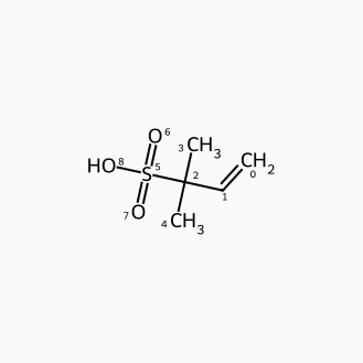 C=CC(C)(C)S(=O)(=O)O